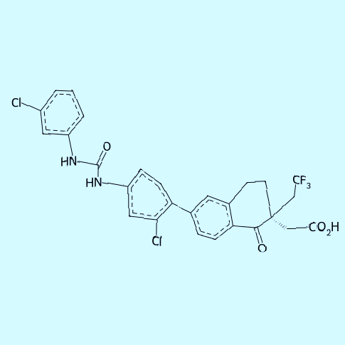 O=C(O)C[C@@]1(CC(F)(F)F)CCc2cc(-c3ccc(NC(=O)Nc4cccc(Cl)c4)cc3Cl)ccc2C1=O